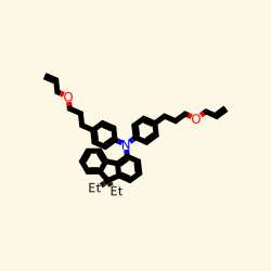 C=CCOCCCc1ccc(N(c2ccc(CCCOCC=C)cc2)c2cccc3c2-c2ccccc2C3(CC)CC)cc1